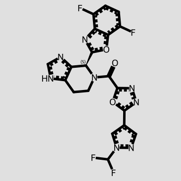 O=C(c1nnc(-c2cnn(C(F)F)c2)o1)N1CCc2[nH]cnc2[C@H]1c1nc2c(F)ccc(F)c2o1